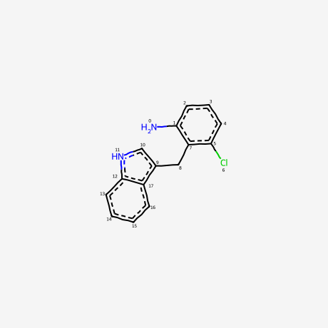 Nc1cccc(Cl)c1Cc1c[nH]c2ccccc12